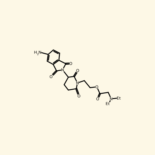 CCN(CC)CC(=O)OCCN1C(=O)CCC(N2C(=O)c3ccc(N)cc3C2=O)C1=O